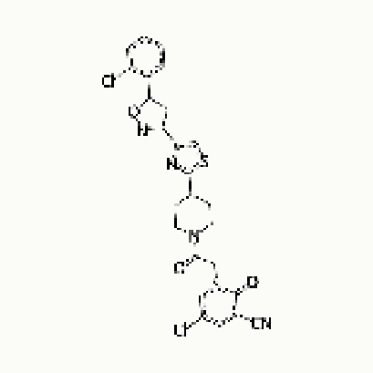 N#Cc1cc(Cl)cn(CC(=O)N2CCC(c3nc(C4=NOC(c5[c]cccc5Cl)C4)cs3)CC2)c1=O